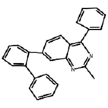 Cc1nc(-c2ccccc2)c2ccc(-c3ccccc3-c3ccccc3)cc2n1